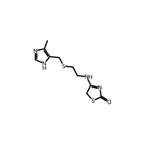 Cc1nc[nH]c1CSCCNC1=NC(=O)SC1